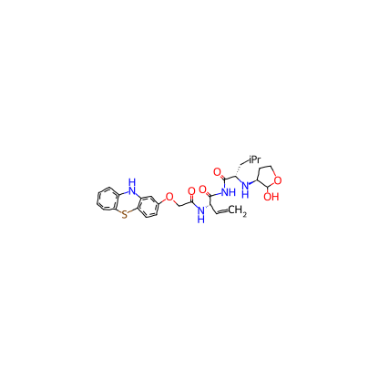 C=C[C@H](NC(=O)COc1ccc2c(c1)Nc1ccccc1S2)C(=O)NC(=O)[C@H](CC(C)C)N[C@H]1CCOC1O